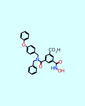 O=C(O)c1cc(C(=O)NO)cc(C(=O)N(Cc2ccccc2)Cc2ccc(Oc3ccccc3)cc2)c1